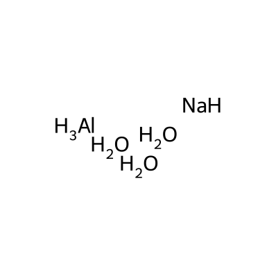 O.O.O.[AlH3].[NaH]